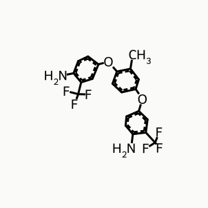 Cc1cc(Oc2ccc(N)c(C(F)(F)F)c2)ccc1Oc1ccc(N)c(C(F)(F)F)c1